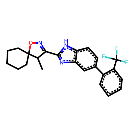 CC1C(c2nc3cc(-c4ccccc4C(F)(F)F)ccc3[nH]2)=NOC12CCCCC2